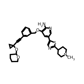 CN1CCC(c2ncc(-c3cnc(N)c(OCc4cccc(C#CC5(OC6CCCCO6)CC5)c4)c3)s2)CC1